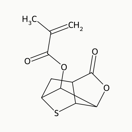 C=C(C)C(=O)OC1C2CC3C(=O)OC1C3S2